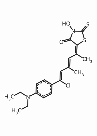 CCN(CC)c1ccc(/C(Cl)=C/C(C)=C/C(C)=C2/SC(=S)N(O)C2=O)cc1